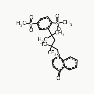 CC(C)(CC(O)(Cn1ccc(=O)c2ccccc21)C(F)(F)F)c1cc(S(C)(=O)=O)ccc1S(C)(=O)=O